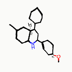 CO[C@H]1CC=C(C2CC(C3CCCCC3)[C@@H]3CC(C)CCC3N2)CC1